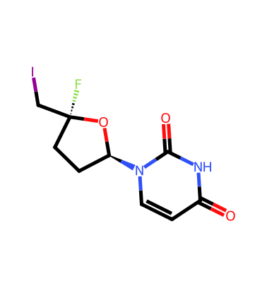 O=c1ccn([C@H]2CC[C@@](F)(CI)O2)c(=O)[nH]1